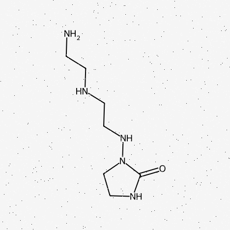 NCCNCCNN1CCNC1=O